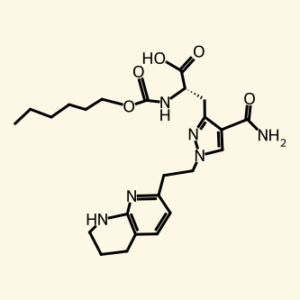 CCCCCCOC(=O)N[C@@H](Cc1nn(CCc2ccc3c(n2)NCCC3)cc1C(N)=O)C(=O)O